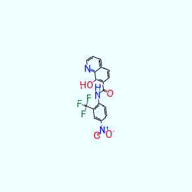 O=C(Nc1ccc([N+](=O)[O-])cc1C(F)(F)F)c1ccc2cccnc2c1O